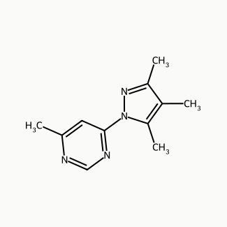 Cc1cc(-n2nc(C)c(C)c2C)ncn1